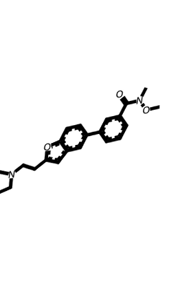 CON(C)C(=O)c1cccc(-c2ccc3oc(CCN4CCC[C@H]4C)cc3c2)c1